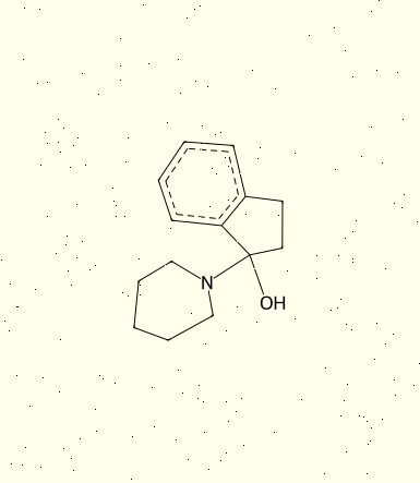 OC1(N2CCCCC2)CCc2ccccc21